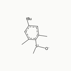 Cc1cc(C(C)(C)C)cc(C)c1[S+](C)[O-]